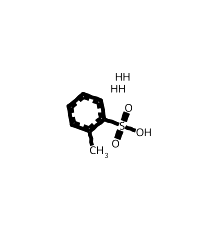 Cc1ccccc1S(=O)(=O)O.[HH].[HH]